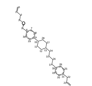 C=CCCOCc1ccc(C2CCC(CCCCc3ccc(CC=C)cc3)CC2)cc1